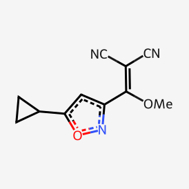 COC(=C(C#N)C#N)c1cc(C2CC2)on1